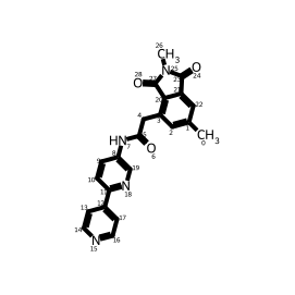 Cc1cc(CC(=O)Nc2ccc(-c3ccncc3)nc2)c2c(c1)C(=O)N(C)C2=O